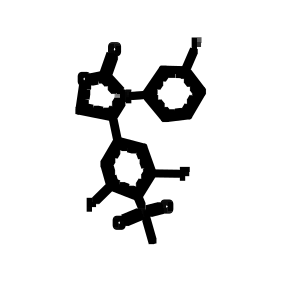 CS(=O)(=O)c1c(F)cc(-c2coc(=O)n2-c2cccc(F)c2)cc1F